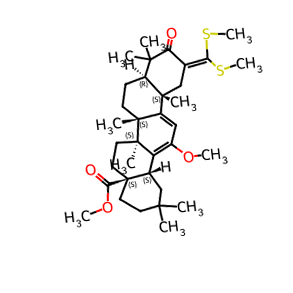 COC(=O)[C@]12CCC(C)(C)C[C@H]1C1=C(OC)C=C3[C@@]4(C)CC(=C(SC)SC)C(=O)C(C)(C)[C@@H]4CC[C@@]3(C)[C@]1(C)CC2